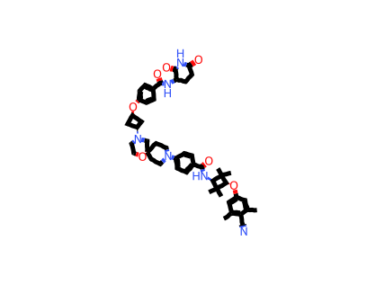 Cc1cc(O[C@H]2C(C)(C)[C@H](NC(=O)c3ccc(N4CCC5(CC4)CN([C@H]4C[C@H](Oc6ccc(C(=O)NC7CCC(=O)NC7=O)cc6)C4)CCO5)cc3)C2(C)C)cc(C)c1C#N